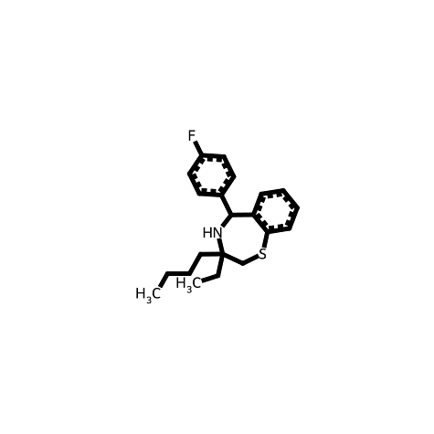 CCCCC1(CC)CSc2ccccc2C(c2ccc(F)cc2)N1